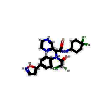 O=C(NC1CCC(F)(F)CC1)C(c1cnccn1)N(C(=O)[C@H](F)Cl)c1ccc(-c2ccno2)cc1